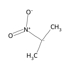 C[C](C)[N+](=O)[O-]